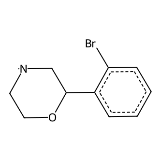 Brc1ccccc1C1C[N]CCO1